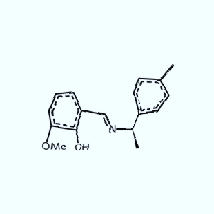 COc1cccc(C=N[C@H](C)c2ccc(C)cc2)c1O